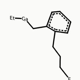 C[CH2][Ga][CH2]c1ccccc1CCCF